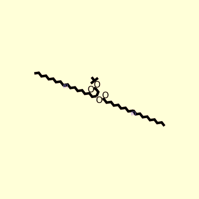 CCCCCCCC/C=C/CCCCCCCC(=O)OC(CCCCCCC/C=C/CCCCCCCC)CC(=O)OC(C)(C)C